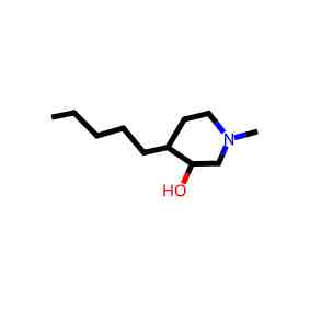 CCCCCC1CCN(C)CC1O